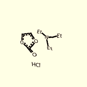 CCN(CC)CC.Cl.O=c1occo1